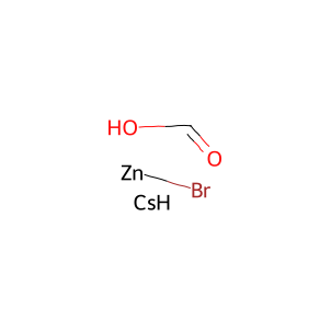 O=CO.[CsH].[Zn][Br]